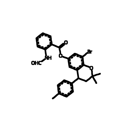 Cc1ccc(C2CC(C)(C)Oc3c(Br)cc(OC(=O)c4ccccc4NC=O)cc32)cc1